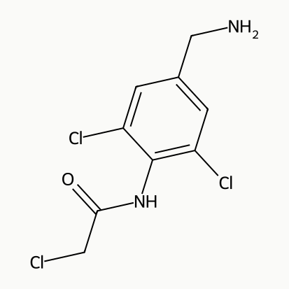 NCc1cc(Cl)c(NC(=O)CCl)c(Cl)c1